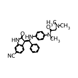 CN(C)CC(=O)N(C)c1ccc(N/C(=C2\C(=O)Nc3cc(C#N)ccc32)c2ccccc2)cc1